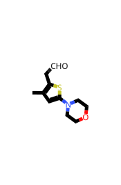 Cc1cc(N2CCOCC2)sc1CC=O